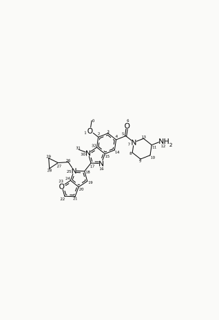 COc1cc(C(=O)N2CCCC(N)C2)cc2nc(-c3cc4ccoc4n3CC3CC3)n(C)c12